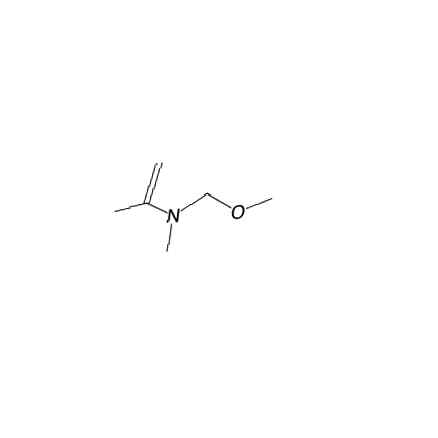 C=C(C)N(C)COC